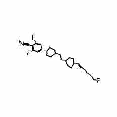 N#Cc1c(F)cc([C@H]2CC[C@H](CC[C@H]3CC[C@H](C=CCCCCF)CC3)CC2)cc1F